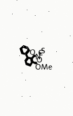 COC(=O)c1cccc(-c2ccccc2)c1C(=O)N=C=S